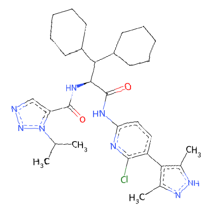 Cc1n[nH]c(C)c1-c1ccc(NC(=O)[C@@H](NC(=O)c2cnnn2C(C)C)C(C2CCCCC2)C2CCCCC2)nc1Cl